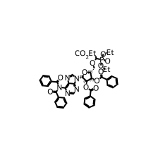 CCOC(=O)C(OC[C@H]1O[C@@H](n2cnc3c(N(C(=O)c4ccccc4)C(=O)c4ccccc4)ncnc32)[C@H](OC(=O)c2ccccc2)[C@@H]1OC(=O)c1ccccc1)P(=O)(OCC)OCC